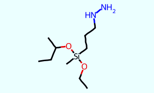 CCO[Si](C)(CCCNN)OC(C)CC